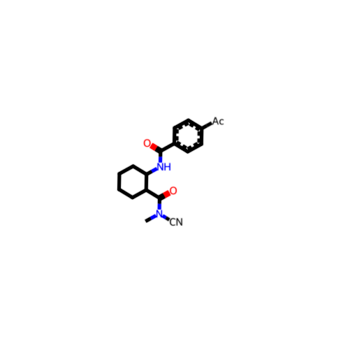 CC(=O)c1ccc(C(=O)NC2CCCCC2C(=O)N(C)C#N)cc1